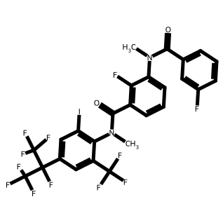 CN(C(=O)c1cccc(F)c1)c1cccc(C(=O)N(C)c2c(I)cc(C(F)(C(F)(F)F)C(F)(F)F)cc2C(F)(F)F)c1F